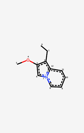 CCc1c(OC)cn2ccccc12